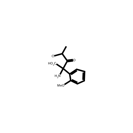 COc1ccccc1C(N)(C(=O)O)C(=O)C(C)Cl